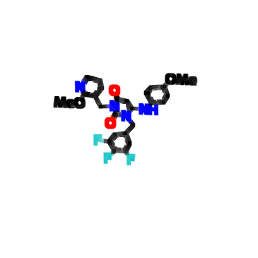 COc1ccc(Nc2cc(=O)n(Cc3cccnc3OC)c(=O)n2Cc2cc(F)c(F)c(F)c2)cc1